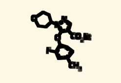 CCOC(=O)c1cnn(C2CCOCC2)c1Oc1ccc(C)cc1F